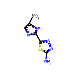 Nc1nnc(-c2ncc([N+](=O)[O-])[nH]2)s1